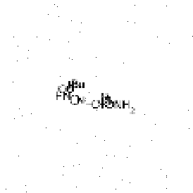 CC(C)(C)OC(=O)NC1CCCN(CCc2ccc(-n3ccc(N)nc3=O)cc2)CC1